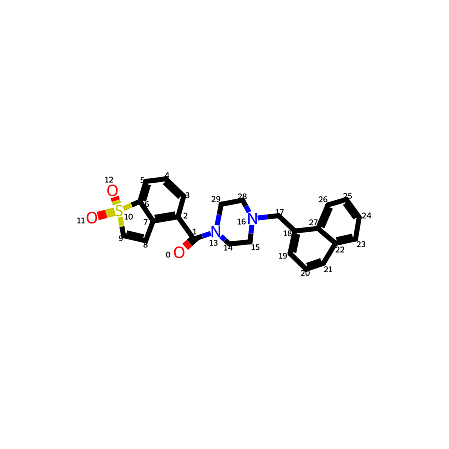 O=C(c1cccc2c1C=CS2(=O)=O)N1CCN(Cc2cccc3ccccc23)CC1